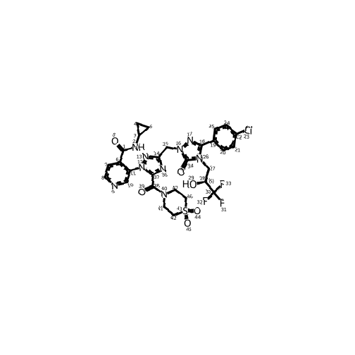 O=C(NC1CC1)c1ccncc1-n1nc(Cn2nc(-c3ccc(Cl)cc3)n(C[C@H](O)C(F)(F)F)c2=O)nc1C(=O)N1CCS(=O)(=O)CC1